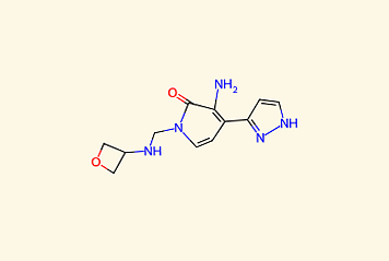 Nc1c(-c2cc[nH]n2)ccn(CNC2COC2)c1=O